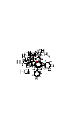 C[Si](C)(C)C1=Cc2c(-c3ccccc3)cccc2[CH]1[Zr]([CH3])([CH3])(=[SiH2])[CH]1C([Si](C)(C)C)=Cc2c(-c3ccccc3)cccc21.Cl.Cl